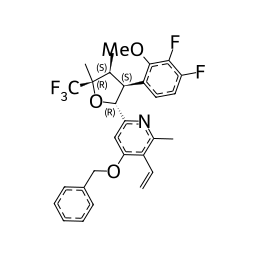 C=Cc1c(OCc2ccccc2)cc([C@@H]2O[C@@](C)(C(F)(F)F)[C@@H](C)[C@H]2c2ccc(F)c(F)c2OC)nc1C